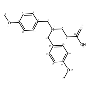 COc1ccc(CN(CCC(=O)O)Cc2ccc(OC)cc2)cc1